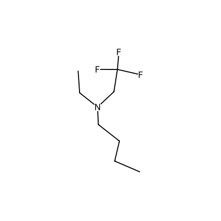 CCCCN(CC)CC(F)(F)F